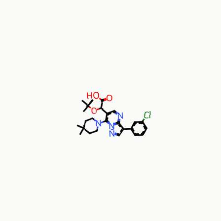 CC1(C)CCN(c2c(C(OC(C)(C)C)C(=O)O)cnc3c(-c4cccc(Cl)c4)cnn23)CC1